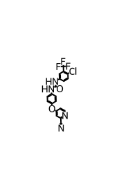 N#Cc1cc(Oc2ccc(NC(=O)Nc3ccc(Cl)c(C(F)(F)F)c3)cc2)ccn1